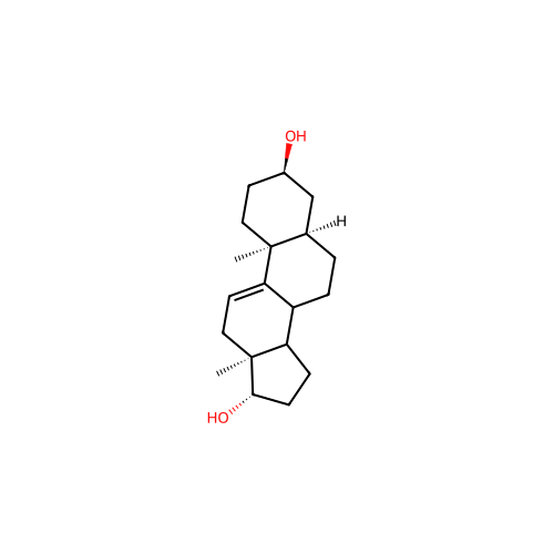 C[C@]12CC=C3C(CC[C@@H]4C[C@H](O)CC[C@]34C)C1CC[C@@H]2O